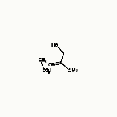 CC(=O)O.COC(=O)CO